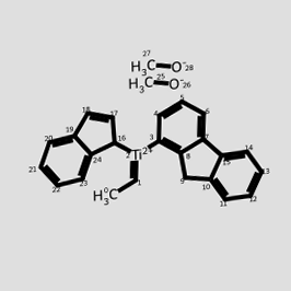 C[CH]=[Ti+2]([c]1cccc2c1Cc1ccccc1-2)[CH]1C=Cc2ccccc21.C[O-].C[O-]